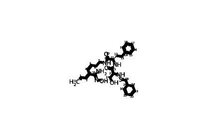 C=C/C=C(\C=C/CCNC(=O)[C@H](CCc1ccccc1)NC(=O)C(CO)NSCC1C=CC=CC1)C(/N)=N/O